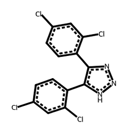 Clc1ccc(-c2nn[nH]c2-c2ccc(Cl)cc2Cl)c(Cl)c1